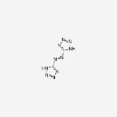 N(=N\c1nnn[nH]1)/c1nnn[nH]1